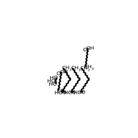 CCCCCCCC/C=C\CCCCCCCC(=O)O.CCCCCCCC/C=C\CCCCCCCC(=O)O.CCCCCCCC/C=C\CCCCCCCC(=O)O.CCCCCCCCCCCC(=O)O.CCCCCCCCCCCC(=O)O.OCC(O)CO